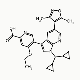 CCOc1cc(C(=O)O)ncc1-c1cn(C(C2CC2)C2CC2)c2ncc(-c3c(C)noc3C)cc12